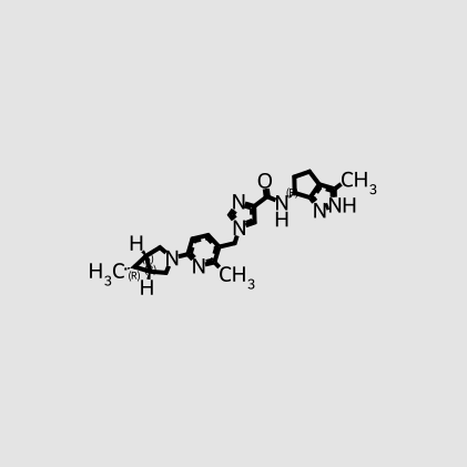 Cc1nc(N2C[C@@H]3[C@H](C)[C@@H]3C2)ccc1Cn1cnc(C(=O)N[C@@H]2CCc3c2n[nH]c3C)c1